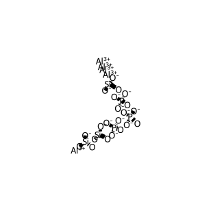 O=P([O-])([O-])[O-].O=P([O-])([O-])[O-].O=P([O-])([O-])[O-].O=[Si]([O-])[O-].O=[Si]([O-])[O-].O=[Si]([O-])[O-].[Al+3].[Al+3].[Al+3].[Al+3].[Al+3]